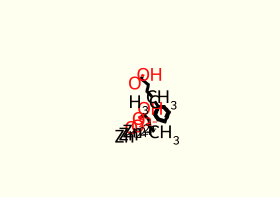 CCCC(=O)O.CCCC(=O)O.Cc1ccccc1.[O-2].[O-2].[Zn+2].[Zn+2].[Zn+2]